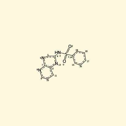 O=S(=O)(Nc1cnc2ncccc2n1)c1ccccc1